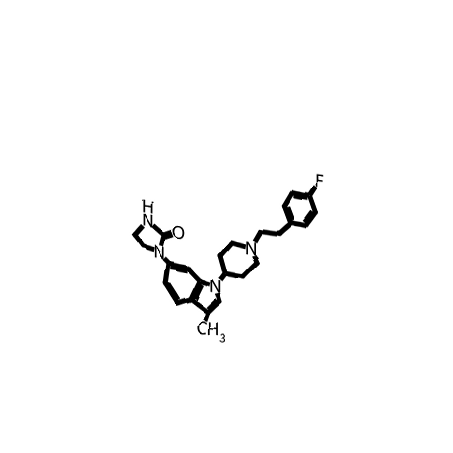 Cc1cn(C2CCN(CCc3ccc(F)cc3)CC2)c2cc(N3CCNC3=O)ccc12